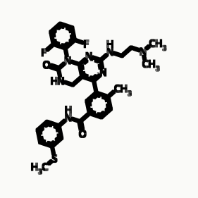 CSc1cccc(NC(=O)c2ccc(C)c(-c3nc(NCCN(C)C)nc4c3CNC(=O)N4c3c(F)cccc3F)c2)c1